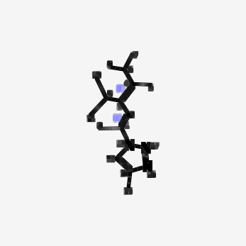 C/C(=C\C(=C(/C)C(C)C)C(C)C)n1cc(C)nn1